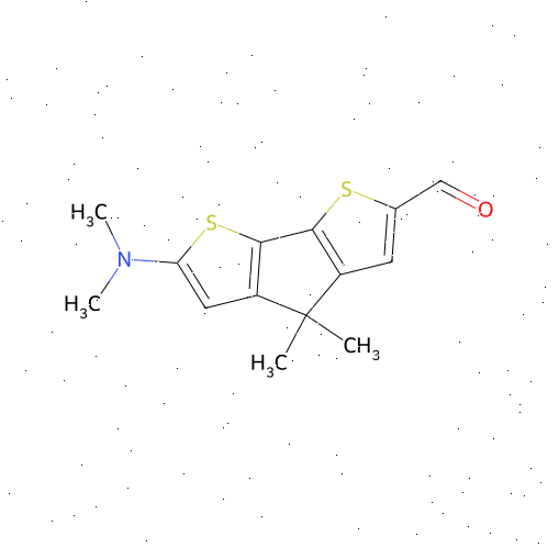 CN(C)c1cc2c(s1)-c1sc(C=O)cc1C2(C)C